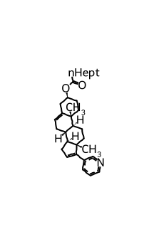 CCCCCCCC(=O)O[C@H]1CC[C@@]2(C)C(=CC[C@@H]3[C@@H]2CC[C@]2(C)C(c4cccnc4)=CC[C@@H]32)C1